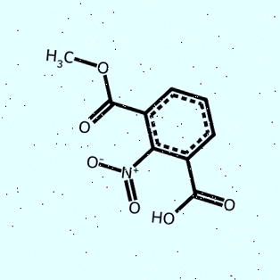 COC(=O)c1cccc(C(=O)O)c1[N+](=O)[O-]